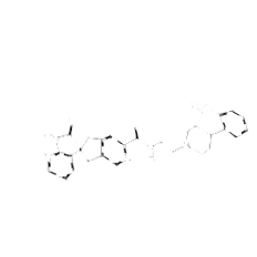 Cc1ccccc1C1CCN(CCNC(=O)c2cc3c(cn2)CC2(C3)C(=O)Nc3ncccc32)CC1